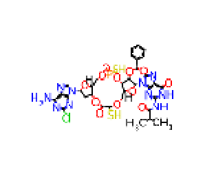 CC(C)C(=O)Nc1nc2c(ncn2[C@@H]2O[C@@H]3COC(S)C(=O)OC4C[C@H](n5cnc6c(N)nc(Cl)nc65)O[C@@H]4COP(=O)(S)OC3C2OC(=O)c2ccccc2)c(=O)[nH]1